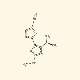 CNc1nc([C@H](C)N)n(-c2ncc(C#N)s2)n1